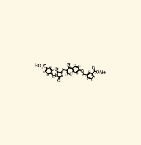 COC(=O)c1cccc(COc2ccc3c(=O)c(CC4SC(=O)N(Cc5ccc(C(=O)O)cc5)C4=O)coc3c2)c1